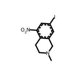 CN1CCc2c(cc(I)cc2[N+](=O)[O-])C1